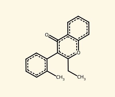 CCc1oc2ccccc2c(=O)c1-c1ccccc1C